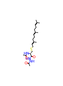 CC(=O)NNC(=O)[C@H](CSC/C=C(\C)CC/C=C(\C)CCC=C(C)C)NC(C)=O